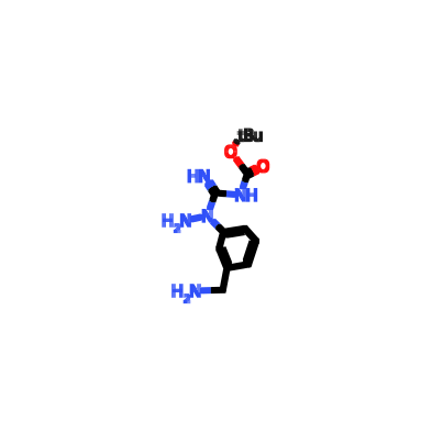 CC(C)(C)OC(=O)NC(=N)N(N)c1cccc(CN)c1